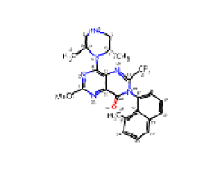 COc1nc(N2[C@@H](C)CNC[C@@H]2C)c2nc(C(F)(F)F)n(-c3cccc4cccc(C)c34)c(=O)c2n1